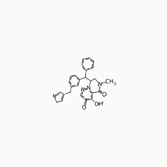 CN1CC(C(c2ccccc2)c2cccc(CC3=CCN=C3)c2)n2ncc(=O)c(O)c2C1=O